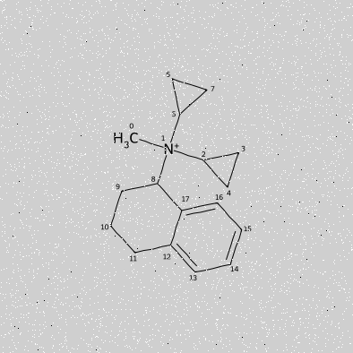 C[N+](C1CC1)(C1CC1)C1CCCc2ccccc21